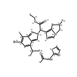 CC(=O)Nc1nccs1.CCOC(=O)C(c1ncn2c1C[C@@H](F)C2)n1cc2c(C(F)F)cc(Br)c(C)c2n1